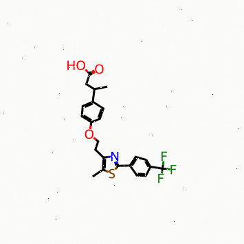 Cc1sc(-c2ccc(C(F)(F)F)cc2)nc1CCOc1ccc(C(C)CC(=O)O)cc1